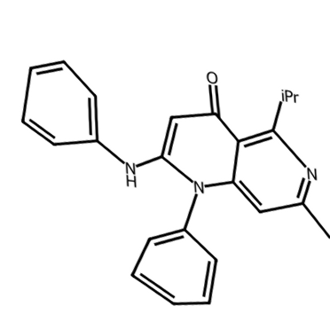 Cc1cc2c(c(C(C)C)n1)c(=O)cc(Nc1ccccc1)n2-c1ccccc1